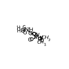 Cc1cc(-c2nc3ccc(OCCNC(C)C(=O)O)cc3n2CC2CCOCC2)cn(C)c1=O